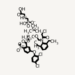 CCc1cccc(CC)c1N(COC)C(=O)CCl.COC(=O)c1cc(Oc2ccc(Cl)cc2Cl)ccc1[N+](=O)[O-].C[S+](C)C.O=C(O)CNCP(=O)([O-])O